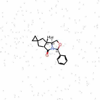 O=C1C2CC3(CC3)C[C@@H]2[C@H]2CO[C@@H](c3ccccc3)N12